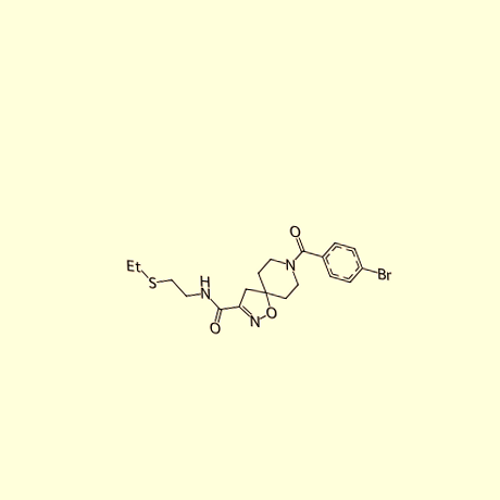 CCSCCNC(=O)C1=NOC2(CCN(C(=O)c3ccc(Br)cc3)CC2)C1